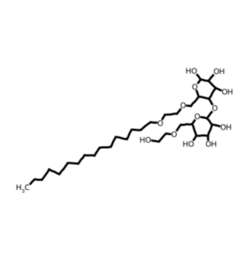 CCCCCCCCCCCCCCCCOCCOCC1OC(O)C(O)C(O)C1OC1OC(COCCO)C(O)C(O)C1O